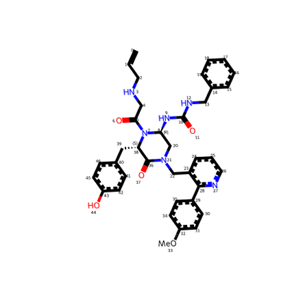 C=CCNCC(=O)N1[C@@H](NC(=O)NCc2ccccc2)CN(Cc2cccnc2-c2ccc(OC)cc2)C(=O)[C@@H]1Cc1ccc(O)cc1